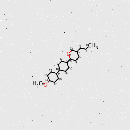 CCCC1CCC(C2CCC(C3CCC(OC)CC3)CC2)OC1